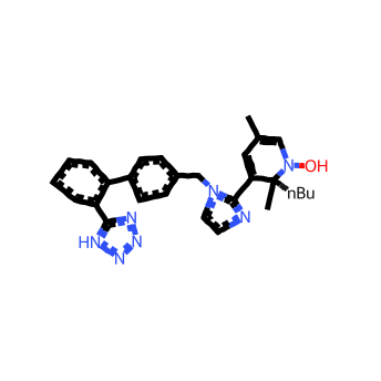 CCCCC1(C)C(c2nccn2Cc2ccc(-c3ccccc3-c3nnn[nH]3)cc2)=CC(C)=CN1O